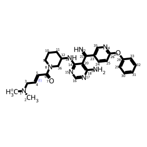 CN(C)C/C=C/C(=O)N1CCCC(Nc2ncnc(N)c2C(=N)c2ccc(Oc3ccccc3)nc2)C1